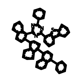 c1ccc(-c2nc(-c3c(-c4ccc(-c5ccc(-c6ccccc6)c6ccccc56)c5ccccc45)ccc4ccccc34)nc(-c3cccc4c3sc3ccccc34)n2)cc1